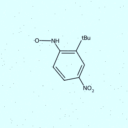 CC(C)(C)c1cc([N+](=O)[O-])ccc1N[O]